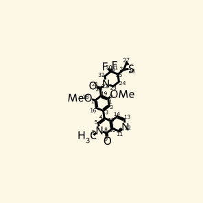 COc1cc(-c2cn(C)c(=O)c3cnccc23)cc(OC)c1C(=O)N1CCC(C2CS2)C(F)(F)C1